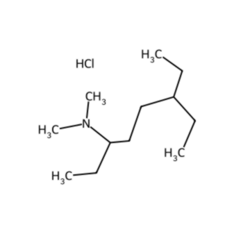 CCC(CC)CCC(CC)N(C)C.Cl